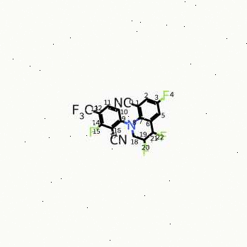 N#Cc1cc(F)cc2c1N(c1ccc(C(F)(F)F)c(F)c1C#N)CC(F)C2F